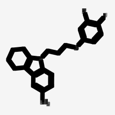 Bc1ccc2c(c1)c1c(n2CCCOc2ccc(F)c(F)c2)CCCC1